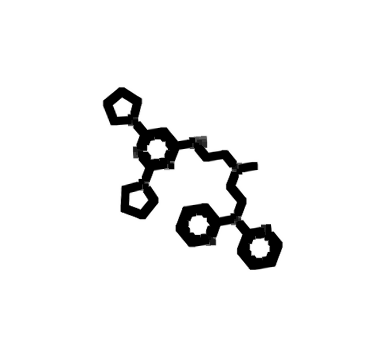 CN(CCNc1cc(N2CCCC2)nc(N2CCCC2)n1)CCN(c1ccccn1)c1ccccn1